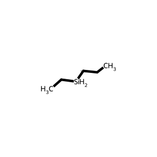 CC[CH][SiH2]CC